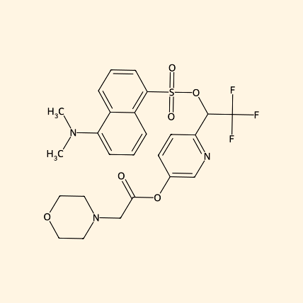 CN(C)c1cccc2c(S(=O)(=O)OC(c3ccc(OC(=O)CN4CCOCC4)cn3)C(F)(F)F)cccc12